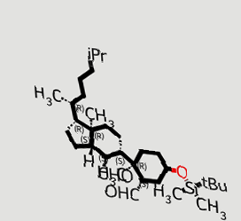 CC(C)CCC[C@@H](C)[C@H]1CC[C@H]2[C@H](C=O)[C@@H]([C@@]3(C)CCC(O[Si](C)(C)C(C)(C)C)C[C@@H]3C=O)CC[C@]12C